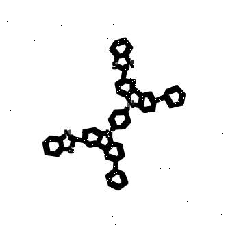 c1ccc(-c2ccc3c(c2)c2cc(-c4nc5ccccc5s4)ccc2n3-c2ccc(-n3c4ccc(-c5ccccc5)cc4c4cc(-c5nc6ccccc6s5)ccc43)cc2)cc1